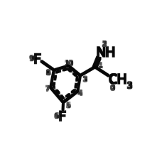 CC(=N)c1cc(F)cc(F)c1